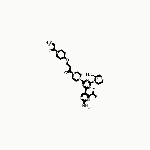 C=CC(=O)N1CCC(OCCC(=O)N2CCN(c3nc(-c4cnc(N)nc4C(F)F)nc(N4CCOC[C@@H]4C)n3)CC2)CC1